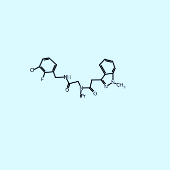 CC(C)N(CC(=O)NCc1cccc(Cl)c1F)C(=O)Cc1nn(C)c2ccccc12